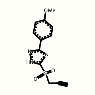 C#CCS(=O)(=O)c1nc(-c2ccc(OC)cc2)n[nH]1